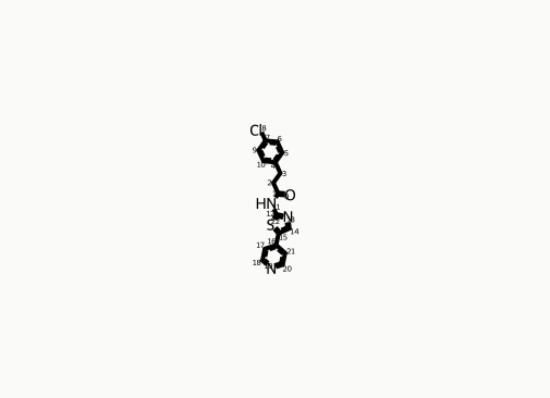 O=C(CCc1ccc(Cl)cc1)Nc1ncc(-c2ccncc2)s1